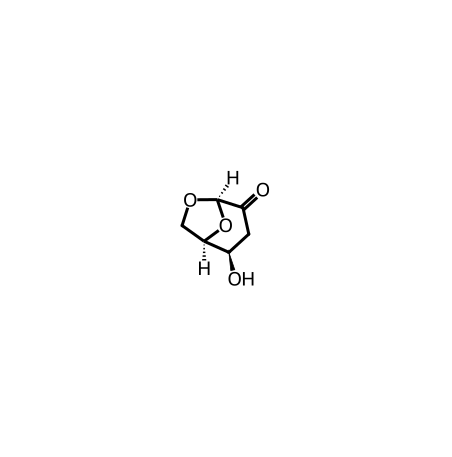 O=C1C[C@@H](O)[C@H]2CO[C@@H]1O2